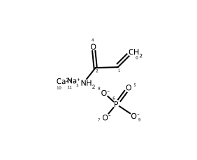 C=CC(N)=O.O=P([O-])([O-])[O-].[Ca+2].[Na+]